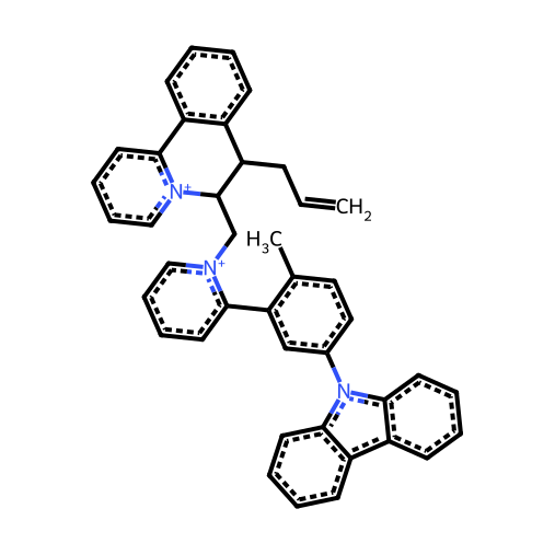 C=CCC1c2ccccc2-c2cccc[n+]2C1C[n+]1ccccc1-c1cc(-n2c3ccccc3c3ccccc32)ccc1C